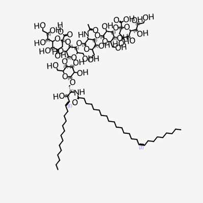 CCCCCCCC/C=C\CCCCCCCCCCCCCCCC(=O)N[C@@H](CO[C@@H]1OC(CO)[C@@H](O[C@@H]2OC(CO)[C@H](O[C@@H]3OC(CO)[C@H](O)[C@H](O[C@@H]4OC(CO)[C@H](O)[C@H](O[C@]5(C(=O)O)CC(O)[C@@H](O)C([C@H](O)[C@H](O)CO)O5)C4O)C3NC(C)=O)[C@H](O[C@]3(C(=O)O)CC(O)[C@@H](O)C([C@H](O)[C@H](O)CO)O3)C2O)[C@H](O)C1O)[C@H](O)/C=C/CCCCCCCCCCCCC